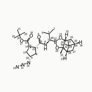 CC(C)[C@H](NC(=O)[C@@H]1C[C@H](N=[N+]=[N-])CN1C(=O)OC(C)(C)C)B1O[C@@H]2C[C@@H]3C[C@@H](C3(C)C)[C@]2(C)O1